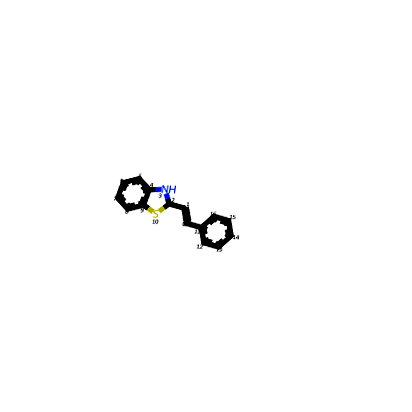 C(=CC1Nc2ccccc2S1)c1ccccc1